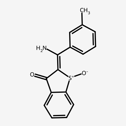 Cc1cccc(C(N)=C2C(=O)c3ccccc3[S+]2[O-])c1